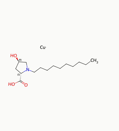 CCCCCCCCCCN1C[C@H](O)C[C@H]1C(=O)O.[Cu]